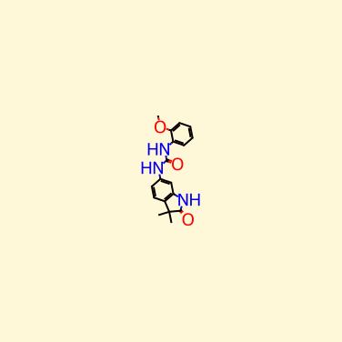 COc1ccccc1NC(=O)Nc1ccc2c(c1)NC(=O)C2(C)C